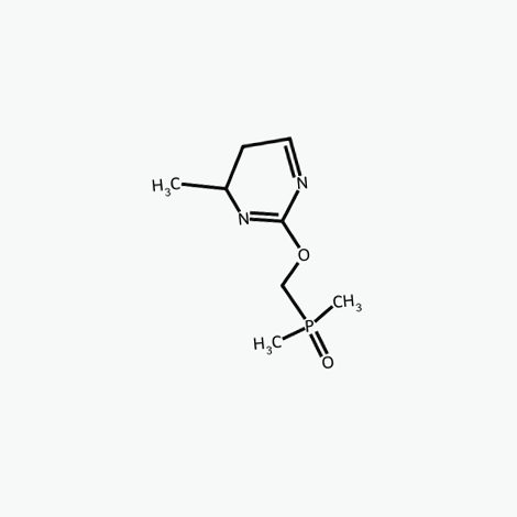 CC1CC=NC(OCP(C)(C)=O)=N1